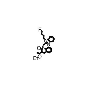 C=C(OCC)c1cc2ccccc2n(Cc2nc3ccccc3n2CCCCF)c1=O